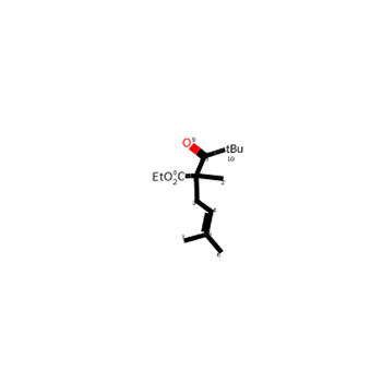 CCOC(=O)C(C)(CC=C(C)C)C(=O)C(C)(C)C